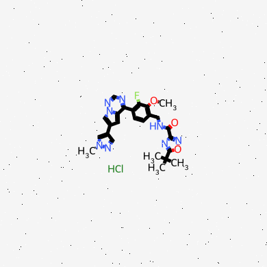 COc1c(CNC(=O)c2noc(C(C)(C)C)n2)ccc(-c2ncnn3cc(-c4cnn(C)c4)cc23)c1F.Cl